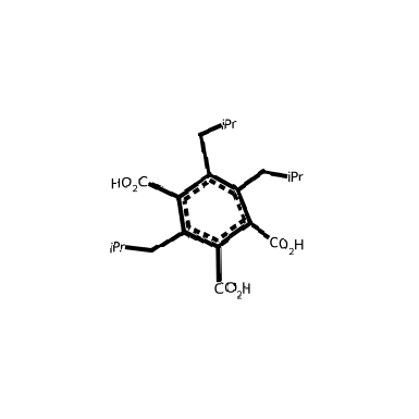 CC(C)Cc1c(CC(C)C)c(C(=O)O)c(C(=O)O)c(CC(C)C)c1C(=O)O